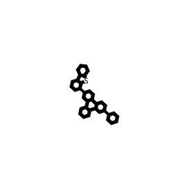 c1ccc(-c2ccc3c4ccc(-c5cccc6c5sc5ccccc56)cc4c4ccccc4c3c2)cc1